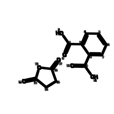 O=C(O)c1ccccc1C(=O)O.O=C1CCC(=O)O1